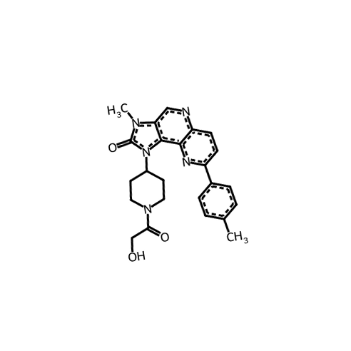 Cc1ccc(-c2ccc3ncc4c(c3n2)n(C2CCN(C(=O)CO)CC2)c(=O)n4C)cc1